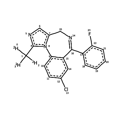 [2H]C([2H])([2H])c1ncc2n1-c1ccc(Cl)cc1C(c1ccccc1F)=NC2